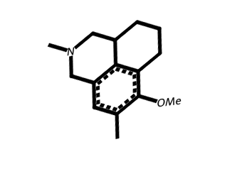 COc1c(C)cc2c3c1CCCC3CN(C)C2